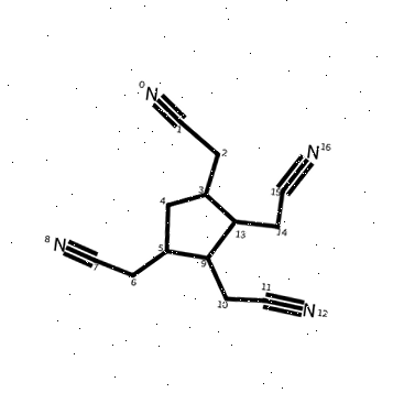 N#CCC1CC(CC#N)C(CC#N)C1CC#N